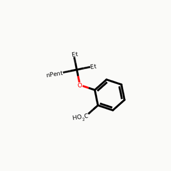 CCCCCC(CC)(CC)Oc1ccccc1C(=O)O